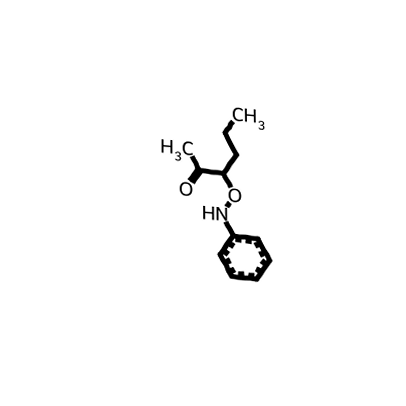 CCCC(ONc1ccccc1)C(C)=O